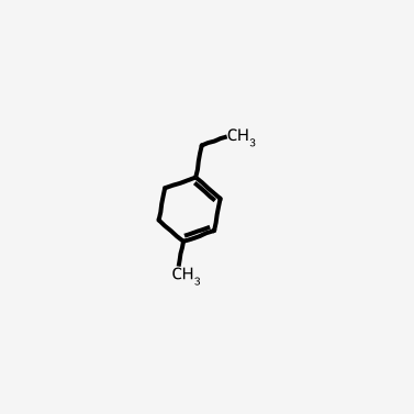 CCC1=CC=C(C)CC1